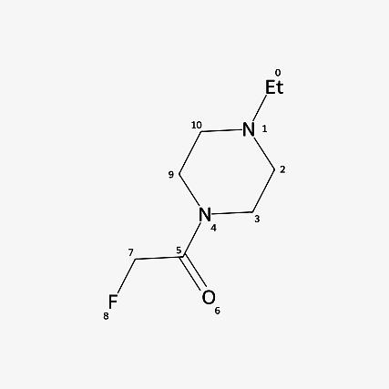 CCN1CCN(C(=O)CF)CC1